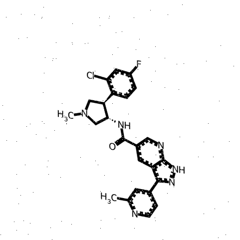 Cc1cc(-c2n[nH]c3ncc(C(=O)N[C@@H]4CN(C)C[C@H]4c4ccc(F)cc4Cl)cc23)ccn1